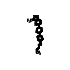 FC(F)(F)CCCOc1ccc(C2CCN(c3ccc4nnc(C(F)(F)F)n4n3)CC2)cc1